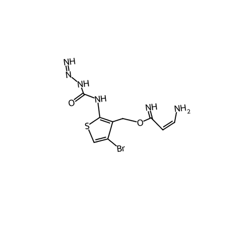 N=NNC(=O)Nc1scc(Br)c1COC(=N)/C=C\N